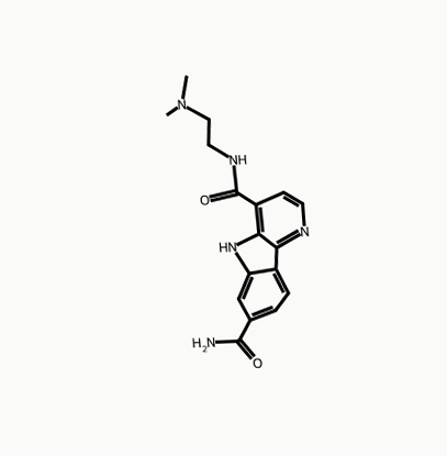 CN(C)CCNC(=O)c1ccnc2c1[nH]c1cc(C(N)=O)ccc12